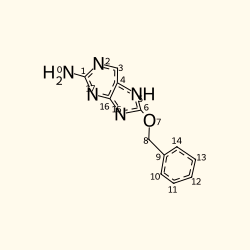 Nc1ncc2[nH]c(OCc3ccccc3)nc2n1